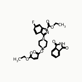 CCOC(=O)/C=C\C(=O)ON1CCN(c2nn(C(=O)OCC)c3cc(F)ccc23)CC1.O=C1NC(=O)c2ccccc21